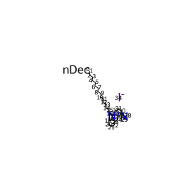 CCCCCCCCCCCCCCCCCCCCCCCCCC[n+]1c2ccccc2cc2c(N(C)C)cccc21.[I-]